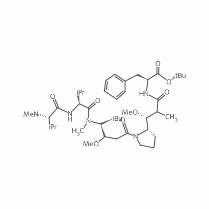 CC[C@H](C)[C@@H](C(CC(=O)N1CCC[C@H]1[C@H](OC)C(C)C(=O)N[C@@H](Cc1ccccc1)C(=O)OC(C)(C)C)OC)N(C)C(=O)[C@@H](NC(=O)[C@@H](NC)C(C)C)C(C)C